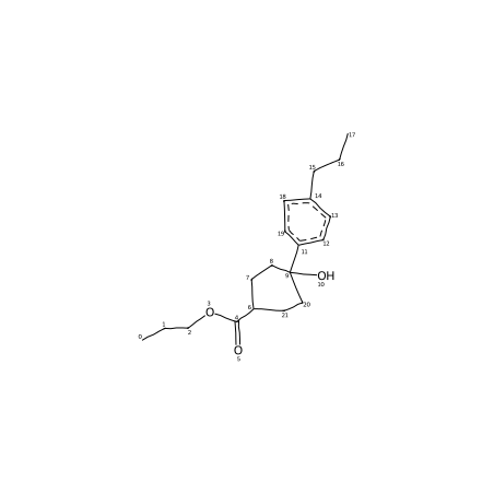 CCCOC(=O)C1CCC(O)(c2ccc(CCC)cc2)CC1